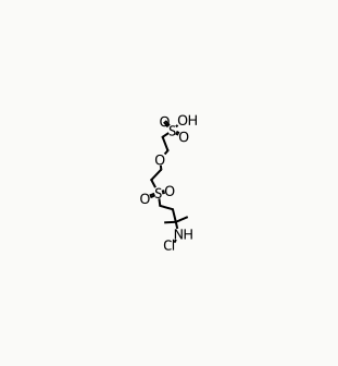 CC(C)(CCS(=O)(=O)CCOCCS(=O)(=O)O)NCl